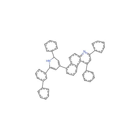 C1=C(c2cccc(-c3ccccc3)c2)NC(c2ccccc2)C=C1c1cccc2c1ccc1nc(-c3ccccc3)cc(-c3ccccc3)c12